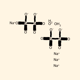 O.O.O=S(=O)([O-])S(=O)(=O)[O-].O=S(=O)([O-])S(=O)(=O)[O-].[Na+].[Na+].[Na+].[Na+]